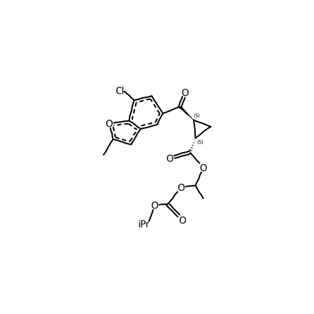 Cc1cc2cc(C(=O)[C@H]3C[C@@H]3C(=O)OC(C)OC(=O)OC(C)C)cc(Cl)c2o1